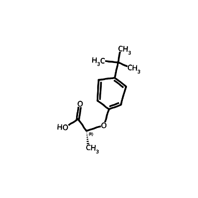 C[C@@H](Oc1ccc(C(C)(C)C)cc1)C(=O)O